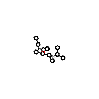 c1ccc(-c2ccc(N(c3ccc4ccccc4c3)c3ccccc3-c3ccc(-c4ccc5c(c4)c4ccccc4n5-c4cc(-c5ccccc5)cc(-c5ccccc5)c4)cc3)cc2)cc1